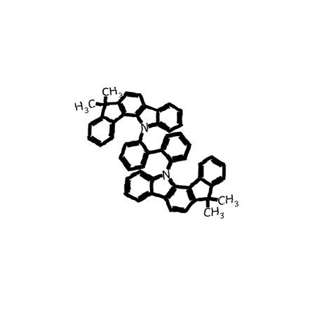 CC1(C)c2ccccc2-c2c1ccc1c3ccccc3n(-c3ccccc3-c3ccccc3-n3c4ccccc4c4ccc5c(c43)-c3ccccc3C5(C)C)c21